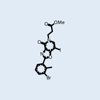 COC(=O)CCn1cc(I)c2oc(-c3cccc(Br)c3C)nc2c1=O